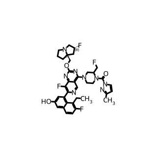 CCc1c(F)ccc2cc(O)cc(-c3ncc4c(N5CCN(C(=O)n6ccc(C)n6)C(CF)C5)nc(OC[C@@]56CCCN5C[C@H](F)C6)nc4c3F)c12